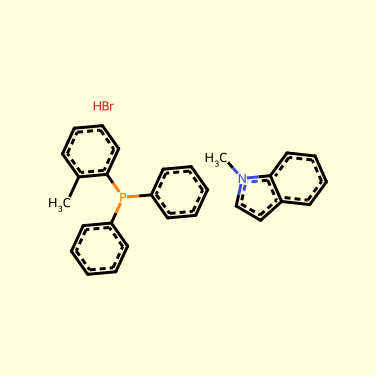 Br.Cc1ccccc1P(c1ccccc1)c1ccccc1.Cn1ccc2ccccc21